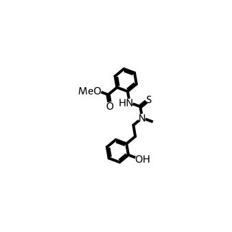 COC(=O)c1ccccc1NC(=S)N(C)CCc1ccccc1O